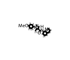 COc1ccc(-n2ncc(C(=O)Nc3cccc4cccnc34)c2C)cc1